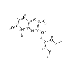 CCOC(COc1nc2c(cc1Cl)ncc(=O)n2C)OCC